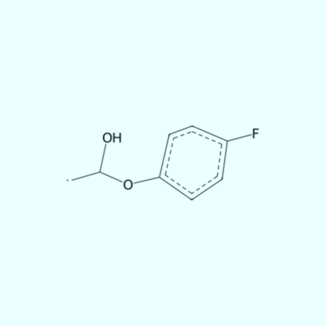 [CH2]C(O)Oc1ccc(F)cc1